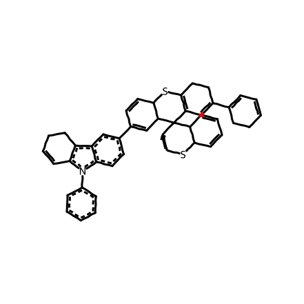 C1=CCCC(C2=CC3=C(CC2)SC2C=CC(c4ccc5c(c4)c4c(n5-c5ccccc5)C=CCC4)=CC2C32C3=CCCCC3SC3C=CC=CC32)=C1